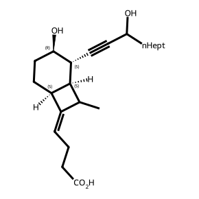 CCCCCCCC(O)C#C[C@@H]1[C@H]2C(C)C(=CCCC(=O)O)[C@H]2CC[C@H]1O